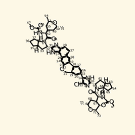 COC(=O)N[C@H](C(=O)N1[C@H](c2nc(Cl)c(-c3ccc4c(c3)COc3cc5c(ccc6nc([C@@H]7C[C@@H]8CCC[C@@H]8N7C(=O)[C@@H](NC(=O)OC)C7C[C@@H](C)O[C@H](C)C7)[nH]c65)cc3-4)[nH]2)C[C@@H]2CCC[C@@H]21)C1C[C@@H](C)O[C@H](C)C1